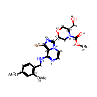 COc1ccc(CNc2nccn3c([C@H]4CN(C(=O)OC(C)(C)C)[C@H](CO)CO4)nc(Br)c23)c(OC)c1